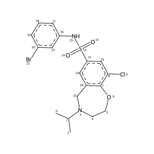 CC(C)N1CCOc2c(Cl)cc(S(=O)(=O)Nc3cccc(Br)c3)cc2C1